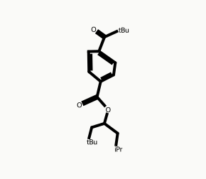 CC(C)CC(CC(C)(C)C)OC(=O)c1ccc(C(=O)C(C)(C)C)cc1